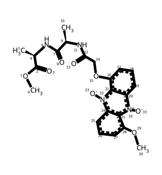 COC(=O)[C@@H](C)NC(=O)[C@@H](C)NC(=O)COc1cccc2c1[n+]([O-])c1cccc(OC)c1[n+]2[O-]